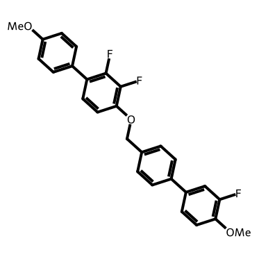 COc1ccc(-c2ccc(OCc3ccc(-c4ccc(OC)c(F)c4)cc3)c(F)c2F)cc1